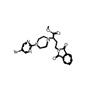 COC(=O)C(CCN1C(=O)c2ccccc2C1=O)N1CCN(c2ncc(Br)cn2)CC1